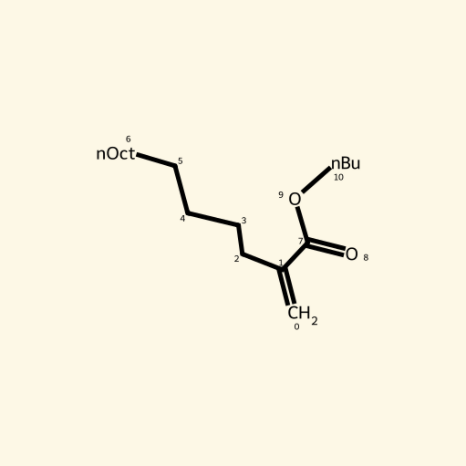 C=C(CCCCCCCCCCCC)C(=O)OCCCC